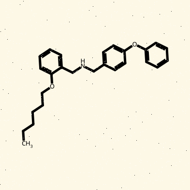 CCCCCCOc1ccccc1CNCc1ccc(Oc2ccccc2)cc1